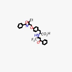 CCc1oc(-c2ccccc2)nc1COc1ccc(C[C@H](NC(=CC(=O)c2ccccc2)C(F)(F)F)C(=O)O)cc1